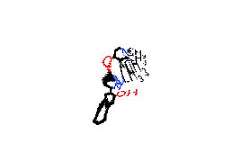 CC1C(Oc2ccc(-c3cc4ccccc4cc3O)nn2)CCN(C)C1(C)C